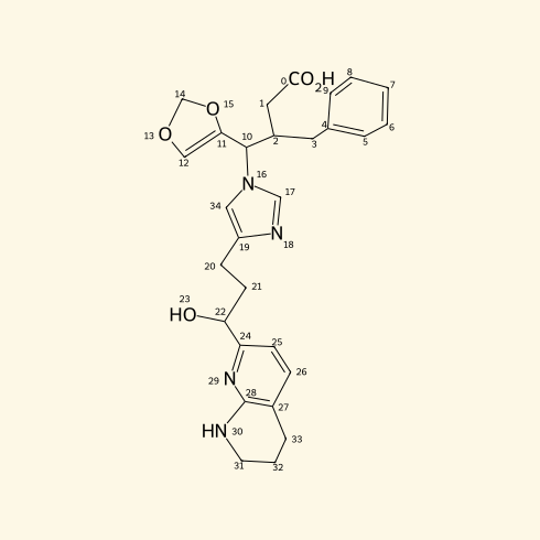 O=C(O)CC(Cc1ccccc1)C(C1=COCO1)n1cnc(CCC(O)c2ccc3c(n2)NCCC3)c1